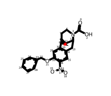 O=C(O)N1CCC23CCCCC2C1Cc1cc([N+](=O)[O-])c(OCc2ccccc2)cc13